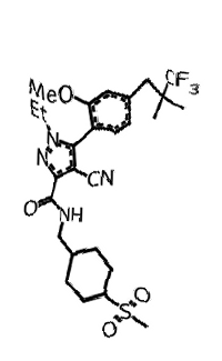 CCn1nc(C(=O)NCC2CCC(S(C)(=O)=O)CC2)c(C#N)c1-c1ccc(CC(C)(C)C(F)(F)F)cc1OC